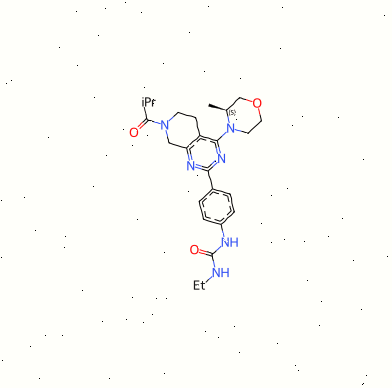 CCNC(=O)Nc1ccc(-c2nc3c(c(N4CCOC[C@@H]4C)n2)CCN(C(=O)C(C)C)C3)cc1